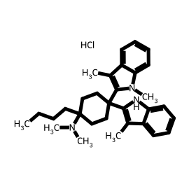 CCCCC1(N(C)C)CCC(c2[nH]c3ccccc3c2C)(c2c(C)c3ccccc3n2C)CC1.Cl